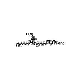 CCCC/C=C\CCCCCCCC(=O)O[C@H](COC(=O)CCCCC/C=C\C/C=C\C/C=C\C/C=C\CCCCC)COP(=O)(O)OCCN